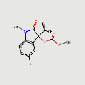 C=C(C#N)C1(OC(=O)OC(C)(C)C)C(=O)N(CCCC)c2ccc(C)cc21